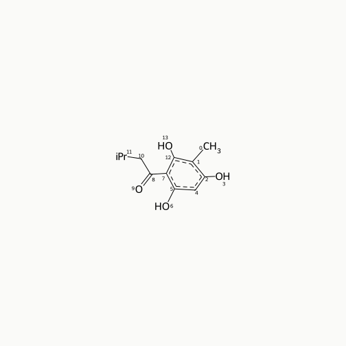 Cc1c(O)cc(O)c(C(=O)CC(C)C)c1O